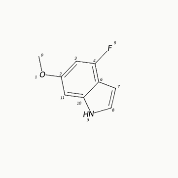 COc1cc(F)c2cc[nH]c2c1